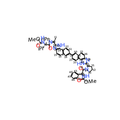 CCCN(C(=O)[C@@H](NC(=O)OC)C(C)C)[C@@H](C)c1nc2ccc3cc(-c4ccc5c(ccc6nc([C@@H]7CCCN7C(=O)[C@H](NC(=O)OC)c7ccccc7)[nH]c65)c4)ccc3c2[nH]1